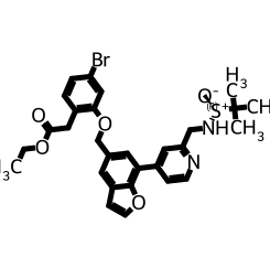 CCOC(=O)Cc1ccc(Br)cc1OCc1cc(-c2ccnc(CN[S@@+]([O-])C(C)(C)C)c2)c2occc2c1